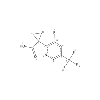 O=C(O)C1(c2ncc(C(F)(F)F)cc2F)CC1